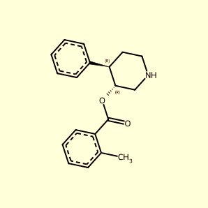 Cc1ccccc1C(=O)O[C@H]1CNCC[C@@H]1c1ccccc1